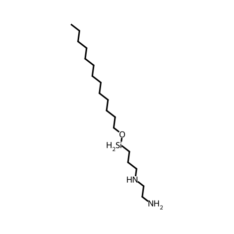 CCCCCCCCCCCCCO[SiH2]CCCNCCN